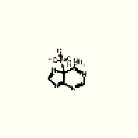 NC1=NC=NC2=NC=NC12P(=O)(O)O